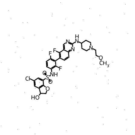 COCCN1CCC(Nc2ncc3c(F)c(-c4c(F)ccc(NS(=O)(=O)c5cc(Cl)cc6c5OCC6O)c4F)ccc3n2)CC1